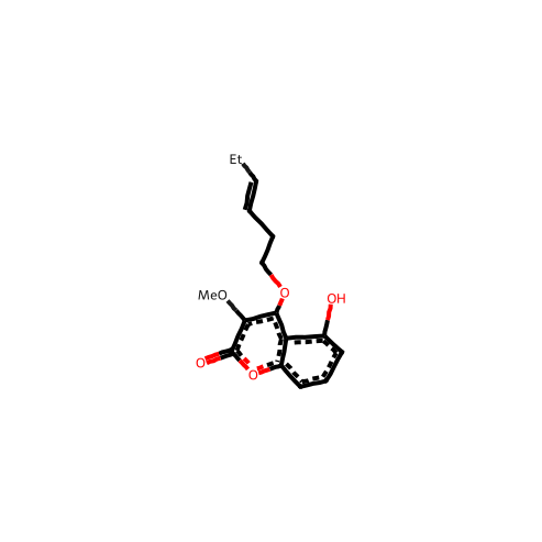 CCC=CCCOc1c(OC)c(=O)oc2cccc(O)c12